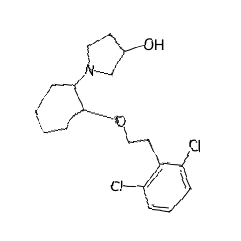 OC1CCN(C2CCCCC2OCCc2c(Cl)cccc2Cl)C1